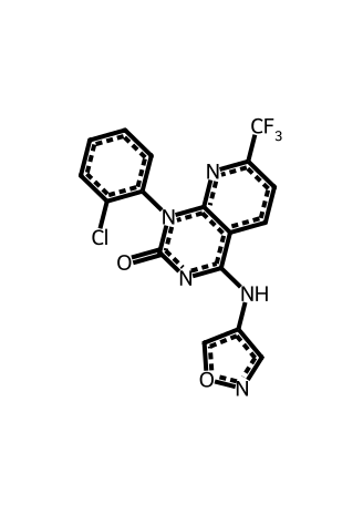 O=c1nc(Nc2cnoc2)c2ccc(C(F)(F)F)nc2n1-c1ccccc1Cl